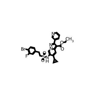 CCOC(=O)c1c(-c2cccnc2)nn2cc(NS(=O)(=O)CCc3ccc(Br)c(F)c3)c(C3CC3)cc12